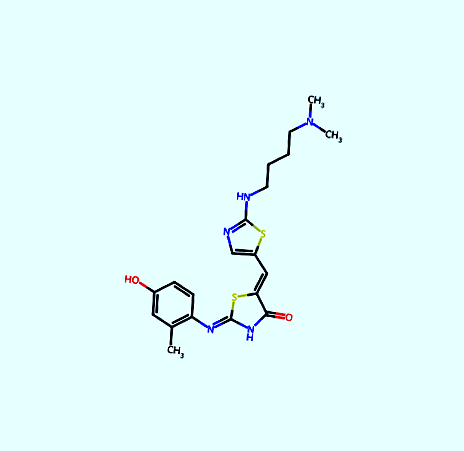 Cc1cc(O)ccc1/N=C1/NC(=O)/C(=C/c2cnc(NCCCCN(C)C)s2)S1